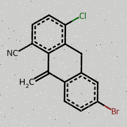 C=C1c2ccc(Br)cc2Cc2c(Cl)ccc(C#N)c21